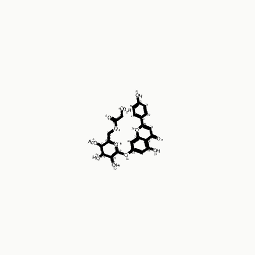 CC(=O)OC1C(COC(=O)CC(=O)O)OC(Oc2cc(O)c3c(=O)cc(-c4ccc(O)cc4)oc3c2)C(O)C1O